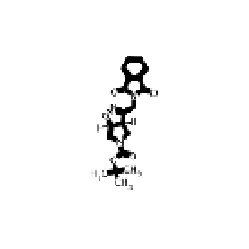 CC(C)(C)OC(=O)N1C[C@@H]2C(CN3C(=O)c4ccccc4C3=O)=NO[C@@H]2C1